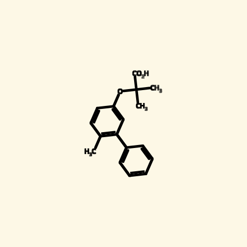 Cc1ccc(OC(C)(C)C(=O)O)cc1-c1ccccc1